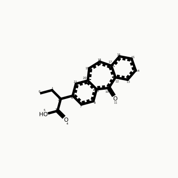 CCC(C(=O)O)c1ccc2c(=O)c3ccccc3ccc2c1